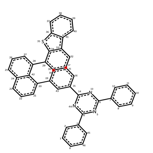 c1ccc(-c2nc(-c3ccccc3)nc(-c3cccc(-c4cccc5cccc(-c6cccc7c6sc6ccccc67)c45)c3)n2)cc1